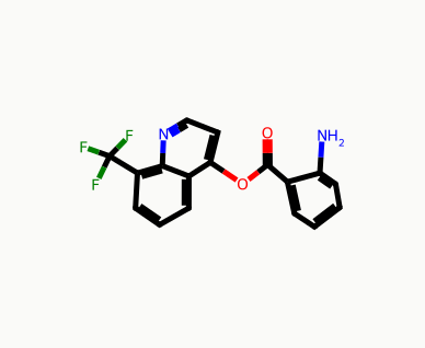 Nc1ccccc1C(=O)Oc1ccnc2c(C(F)(F)F)cccc12